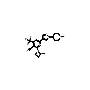 C[C@H]1CCN1c1nc(-c2cnn(C3CCN(C)CC3)c2)cc(C(F)(F)F)c1C#N